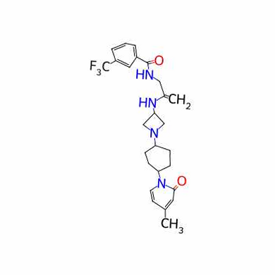 C=C(CNC(=O)c1cccc(C(F)(F)F)c1)NC1CN(C2CCC(n3ccc(C)cc3=O)CC2)C1